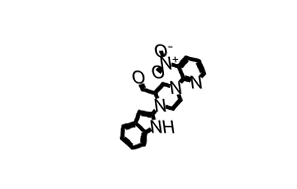 O=CC1CN(c2ncccc2[N+](=O)[O-])CCN1c1cc2ccccc2[nH]1